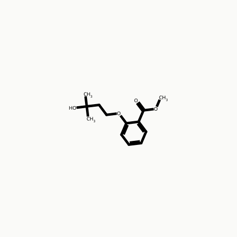 COC(=O)c1ccccc1OCCC(C)(C)O